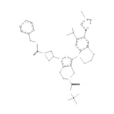 Cn1cc(-c2cc3c(cc2C(F)F)N(c2nn(C4CN(C(=O)OCc5ccccc5)C4)c4c2CN(C(=O)OC(C)(C)C)CC4)CCC3)cn1